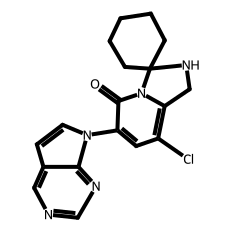 O=c1c(-n2ccc3cncnc32)cc(Cl)c2n1C1(CCCCC1)NC2